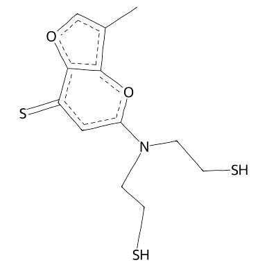 Cc1coc2c(=S)cc(N(CCS)CCS)oc12